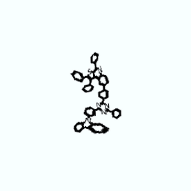 c1ccc(-c2nc(-c3ccc(-c4ccc5nc(-c6ccccc6)c6sc(-c7ccccc7)c(-c7ccccc7)c6c5c4)cc3)nc(-c3cccc(-n4c5ccccc5c5ccccc54)c3)n2)cc1